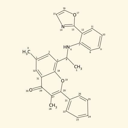 Cc1cc(C(C)Nc2ccccc2-c2ncco2)c2oc(-c3ccccc3)c(C)c(=O)c2c1